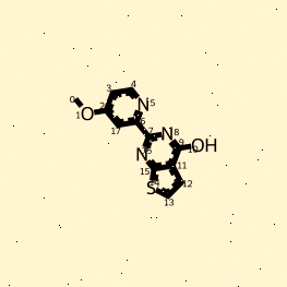 COc1ccnc(-c2nc(O)c3ccsc3n2)c1